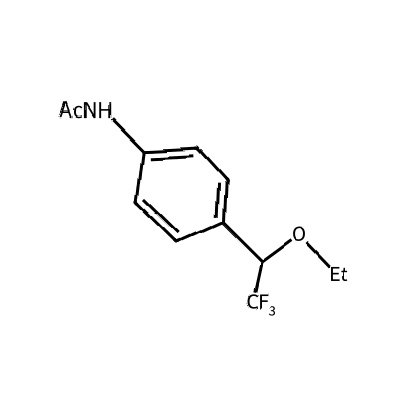 CCOC(c1ccc(NC(C)=O)cc1)C(F)(F)F